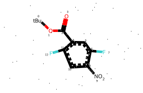 CC(C)(C)OC(=O)c1cc(F)c([N+](=O)[O-])cc1F